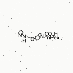 CCCCCCC(Cn1ccc2cc(OCCCNc3ccccn3)ccc21)C(=O)O